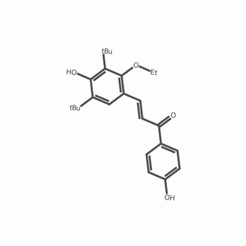 CCOc1c(/C=C/C(=O)c2ccc(O)cc2)cc(C(C)(C)C)c(O)c1C(C)(C)C